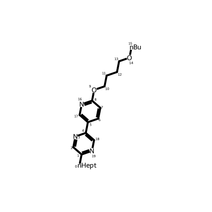 CCCCCCCc1cnc(-c2ccc(OCCCCOCCCC)nc2)cn1